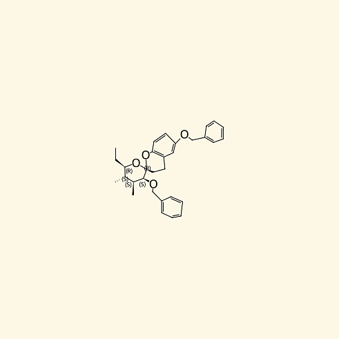 CC[C@H]1O[C@@]2(CCc3cc(OCc4ccccc4)ccc3O2)[C@@H](OCc2ccccc2)[C@@H](C)[C@@H]1C